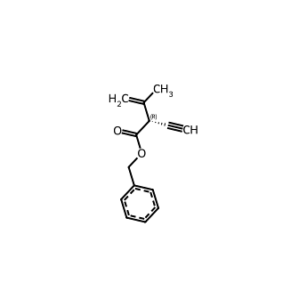 C#C[C@@H](C(=C)C)C(=O)OCc1ccccc1